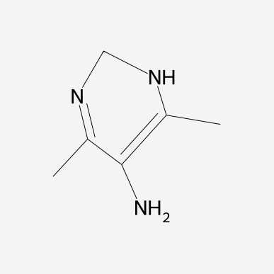 CC1=NCNC(C)=C1N